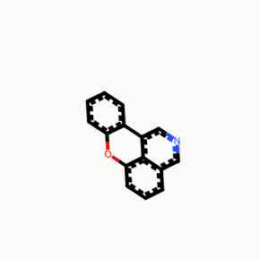 c1ccc2c(c1)Oc1cccc3cncc-2c13